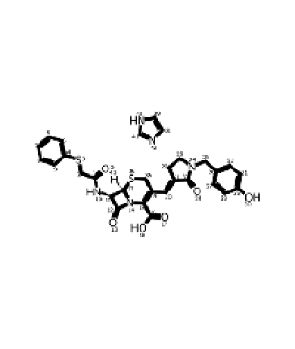 O=C(CSc1ccccc1)N[C@@H]1C(=O)N2C(C(=O)O)=C(/C=C3\CCN(Cc4ccc(O)cc4)C3=O)CS[C@H]12.c1c[nH]cn1